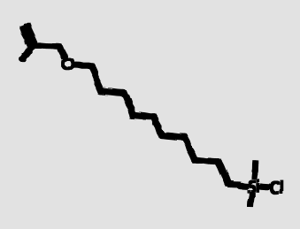 C=C(C)COCCCCCCCCCC[Si](C)(C)Cl